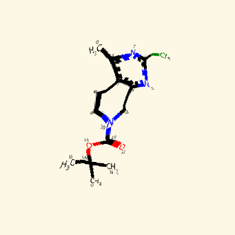 Cc1nc(Cl)nc2c1CCN(C(=O)OC(C)(C)C)C2